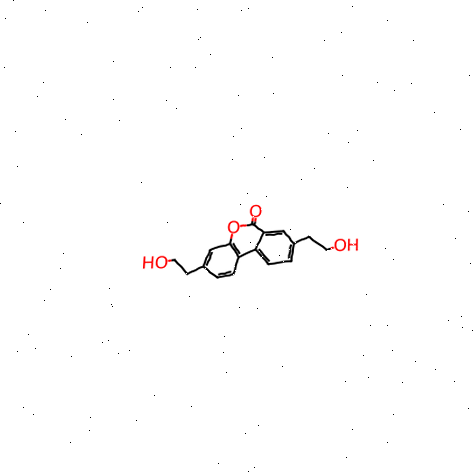 O=c1oc2cc(CCO)ccc2c2ccc(CCO)cc12